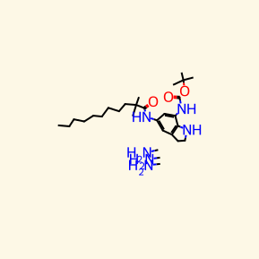 CCCCCCCCCC(C)(C)C(=O)Nc1cc2c(c(NC(=O)OC(C)(C)C)c1)NCC2.CN.CN.CN